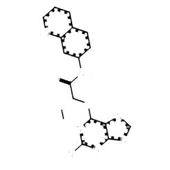 CC[C@@H](Sc1nc(N)nc2nc[nH]c12)C(=O)Nc1ccc2cccnc2c1